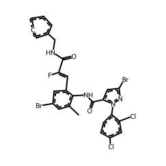 Cc1cc(Br)cc(/C=C(\F)C(=O)NCc2ccccc2)c1NC(=O)c1cc(Br)nn1-c1ccc(Cl)cc1Cl